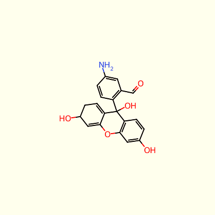 Nc1ccc(C2(O)C3=CCC(O)C=C3Oc3cc(O)ccc32)c(C=O)c1